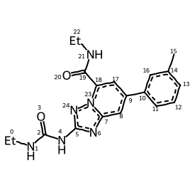 CCNC(=O)Nc1nc2cc(-c3cccc(C)c3)cc(C(=O)NCC)n2n1